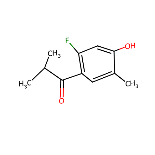 Cc1cc(C(=O)C(C)C)c(F)cc1O